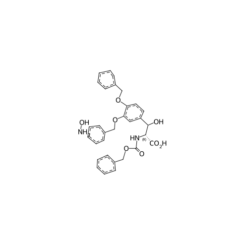 NO.O=C(N[C@@H](C(=O)O)C(O)c1ccc(OCc2ccccc2)c(OCc2ccccc2)c1)OCc1ccccc1